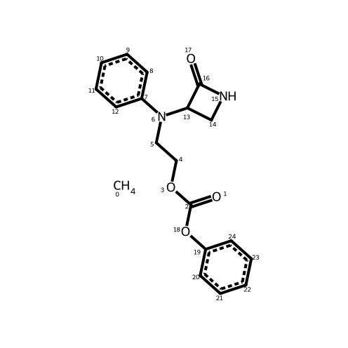 C.O=C(OCCN(c1ccccc1)C1CNC1=O)Oc1ccccc1